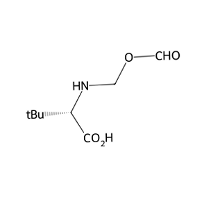 CC(C)(C)[C@H](NCOC=O)C(=O)O